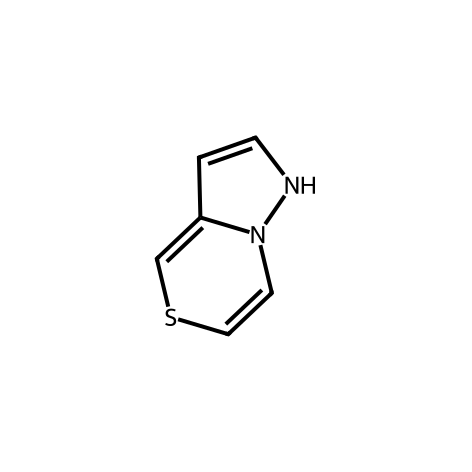 C1=CC2=CSC=CN2N1